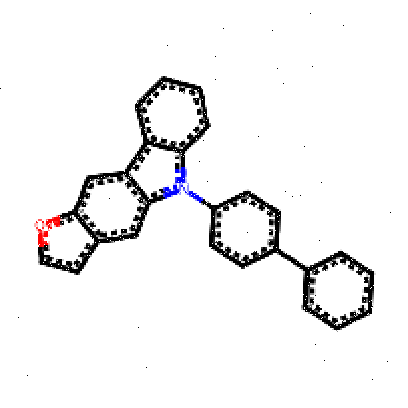 c1ccc(-c2ccc(-n3c4ccccc4c4cc5occc5cc43)cc2)cc1